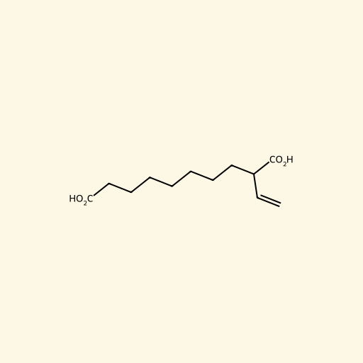 C=CC(CCCCCCCC(=O)O)C(=O)O